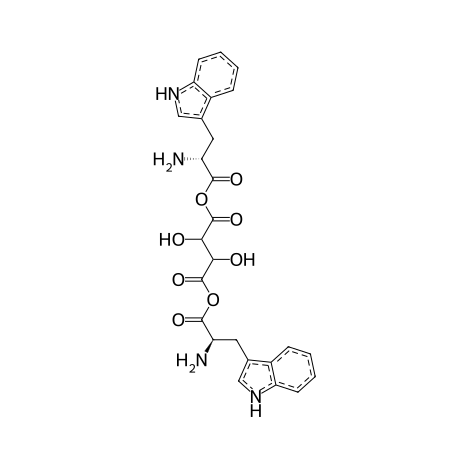 N[C@H](Cc1c[nH]c2ccccc12)C(=O)OC(=O)C(O)C(O)C(=O)OC(=O)[C@H](N)Cc1c[nH]c2ccccc12